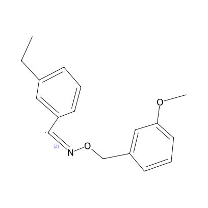 CCc1cccc(/[C]=N\OCc2cccc(OC)c2)c1